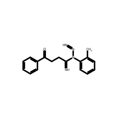 Cc1ccccc1N(N=N)C(=N)CCC(=O)c1ccccc1